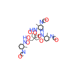 CCC(CC(=O)ONc1cccc(N=C=O)c1C)(CC(=O)ONc1cccc(N=C=O)c1C)CC(=O)ONc1cccc(N=C=O)c1C